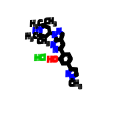 Cl.Cn1ccc(-c2ccc(-c3cc4cnn(C5CC(C)(C)NC(C)(C)C5)c4nn3)c(O)c2)n1